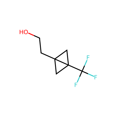 OCCC12CC1(C(F)(F)F)C2